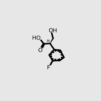 O=C(O)[C@@H](CO)c1cccc(F)c1